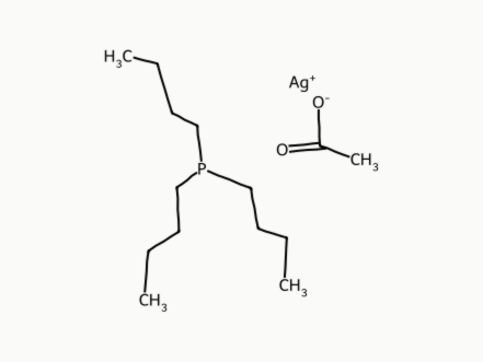 CC(=O)[O-].CCCCP(CCCC)CCCC.[Ag+]